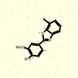 COc1cc(-c2nc3cccc(C)c3o2)ccc1C(C)C